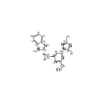 CCOc1nc([C@H]2C[C@@H]2c2nc3ccccc3n2C)cc(-n2nc(C)nc2C)n1